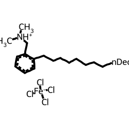 CCCCCCCCCCCCCCCCCCc1ccccc1C[NH+](C)C.[Cl][Fe-]([Cl])([Cl])[Cl]